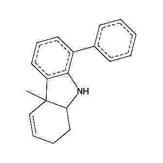 CC12C=CCCC1Nc1c(-c3ccccc3)cccc12